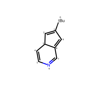 CC(C)(C)C1=CC2C=CN=CC2=C1